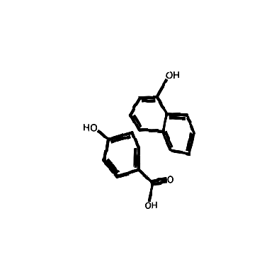 O=C(O)c1ccc(O)cc1.Oc1cccc2ccccc12